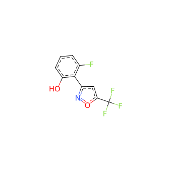 Oc1cccc(F)c1-c1cc(C(F)(F)F)on1